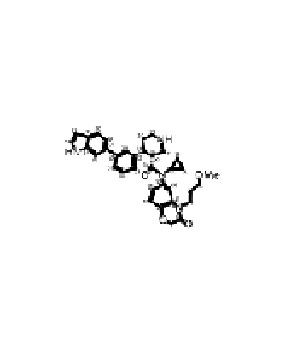 COCCCN1C(=O)COc2ccc(N(C(=O)[C@H]3CNCC[C@@H]3c3cccc(-c4ccc5cc[nH]c5c4)c3)C3CC3)cc21